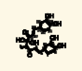 CC(C(=O)C=Cc1ccc(O)c(O)c1)C(O)(O)C(=O)C=Cc1ccc(O)c(O)c1